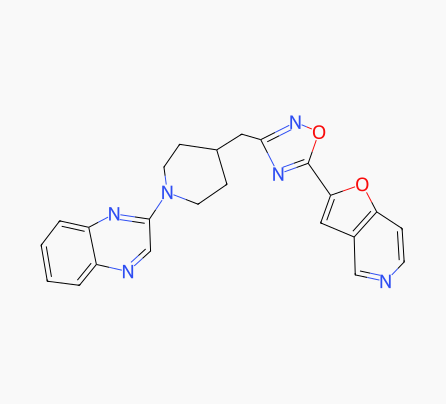 c1ccc2nc(N3CCC(Cc4noc(-c5cc6cnccc6o5)n4)CC3)cnc2c1